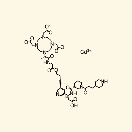 C[C@@H](C(=O)NCC(=O)OCCC#Cc1cncc([C@H](CC(=O)O)NC(=O)[C@@H]2CCCN(C(=O)CCC3CCNCC3)C2)c1)N1CCN(CC(=O)[O-])CCN(CC(=O)[O-])CCN(CC(=O)[O-])CC1.[Gd+3]